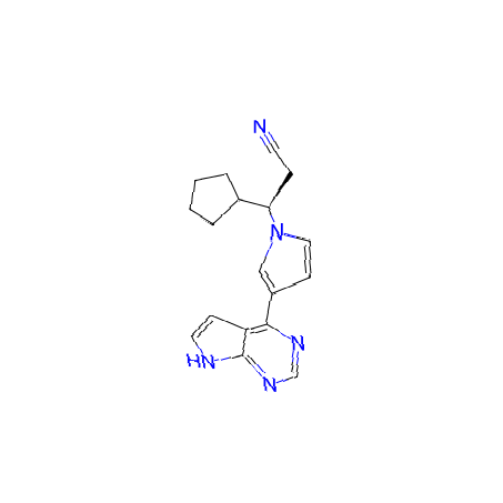 N#CC[C@H](C1CCCC1)n1ccc(-c2ncnc3[nH]ccc23)c1